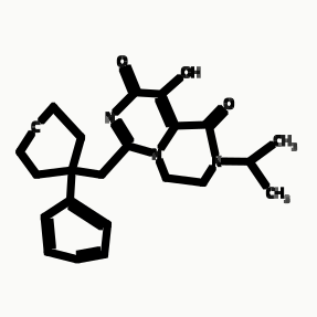 CC(C)N1CCn2c(CC3(c4ccccc4)CCCCC3)nc(=O)c(O)c2C1=O